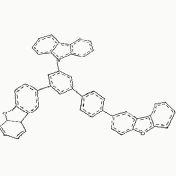 C1=CC2Oc3ccc(-c4cc(-c5ccc(-c6ccc7oc8ccccc8c7c6)cc5)cc(-n5c6ccccc6c6ccccc65)c4)cc3C2C=C1